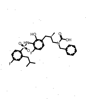 CC(C)Cc1cc(F)ccc1S(=O)(=O)Nc1c(F)ccc(C[C@@H](C)CN(Cc2ccccc2)C(=O)O)c1O